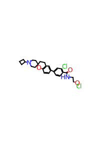 O=C(NCCOCl)c1ccc(-c2ccc3c(c2)CCC2(CCN(C4CCC4)CC2)O3)cc1Cl